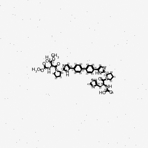 COC(=O)N[C@H](C(=O)N1CCC[C@H]1c1ncc(-c2ccc(-c3ccc(-c4cnc([C@@H]5CCCN5C(=O)[C@H](Cc5cscn5)NC(=O)O)[nH]4)cc3)cc2)[nH]1)[C@@H](C)OC